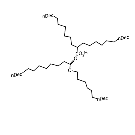 CCCCCCCCCCCCCCCCC(CCCCCCCCCCCCCCCC)C(=O)O.CCCCCCCCCCCCCCCCCC(=O)OCCCCCCCCCCCCCCCC